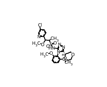 COc1cccc(OC)c1-n1c(NS(=O)(=O)C(C)C(OC)c2ccc(Cl)cn2)nnc1[C@@H]1COCCO1